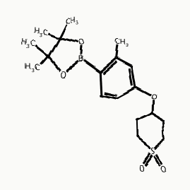 Cc1cc(OC2CCS(=O)(=O)CC2)ccc1B1OC(C)(C)C(C)(C)O1